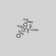 N=C(N)c1ccc(C(N)(CCS(=O)(=O)c2ccccc2)C(=O)OC(=O)C(N)CC=O)cc1